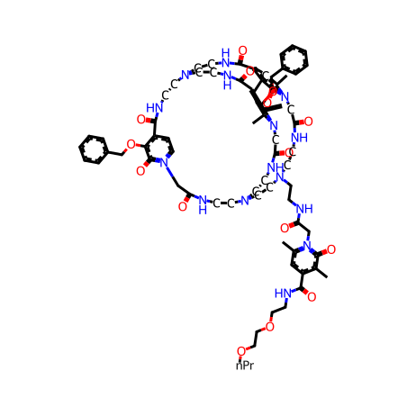 C=C1C(OCc2ccccc2)=C2C=C(C)N1CC(=O)NCCN1CCNC(=O)Cn3ccc(c(OCc4ccccc4)c3=O)C(=O)NCCN(CCNC2=O)CCNC(=O)c2cc(C)n(c(=O)c2C)CC(=O)NCCN(CCNC(=O)Cn2c(C)cc(C(=O)NCCOCCOCCC)c(C)c2=O)CC1